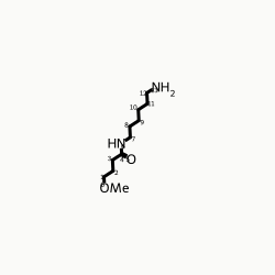 COCCCC(=O)NCCCCCCN